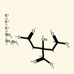 B.B.B.O=C([O-])CC(O)(CC(=O)[O-])C(=O)[O-].[K+].[K+].[K+]